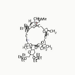 C=C1C(C)CC2CC[C@@H]3OC(CC[C@@]4(CCOC)OC5C[C@@H](OC(CC/C=C/C(=O)OC6[C@@H](C)C7OC(CCO[Si](CC)(CC)CC)C(O[Si](CC)(CC)CC)CC7O[C@H]6CC1O2)C5O[Si](CC)(CC)CC)C(C)O4)CC3=C